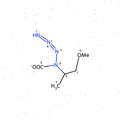 COCC(C)N(N=[N+]=N)C(=O)[O-]